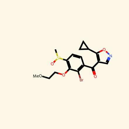 COCCOc1c([S+](C)[O-])ccc(C(=O)c2cnoc2C2CC2)c1Br